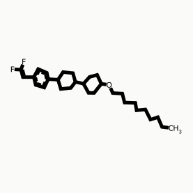 CCCCCCCCCCOC1CCC(C2CCC(c3ccc(C=C(F)F)cc3)CC2)CC1